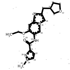 CCOc1cc2nc(CC3CCOC3)cn2cc1NC(=O)c1ccn(C)n1